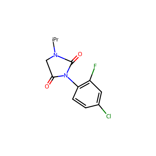 CC(C)N1CC(=O)N(c2ccc(Cl)cc2F)C1=O